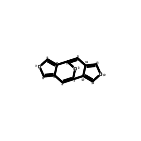 C1=C2OC(=Cc3cocc32)c2cocc21